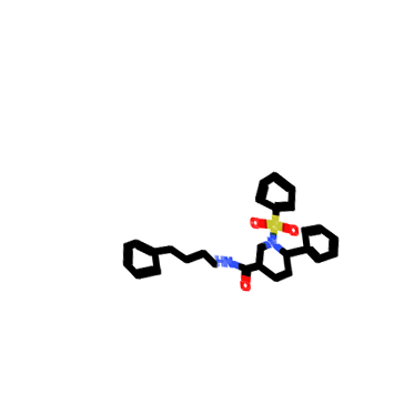 O=C(NCCCCc1ccccc1)C1CCC(c2ccccc2)N(S(=O)(=O)c2ccccc2)C1